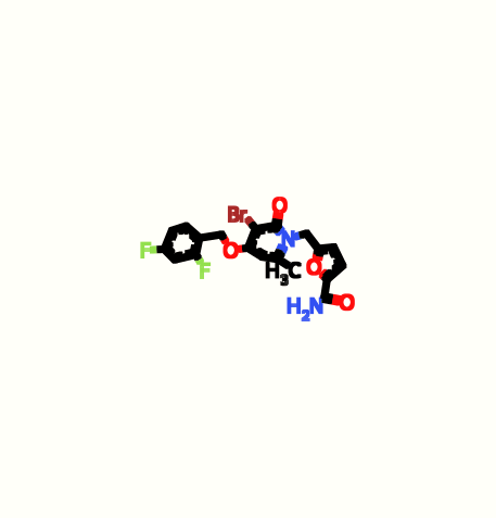 Cc1cc(OCc2ccc(F)cc2F)c(Br)c(=O)n1Cc1ccc(C(N)=O)o1